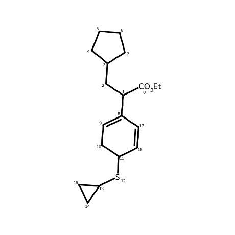 CCOC(=O)C(CC1CCCC1)C1=CCC(SC2CC2)C=C1